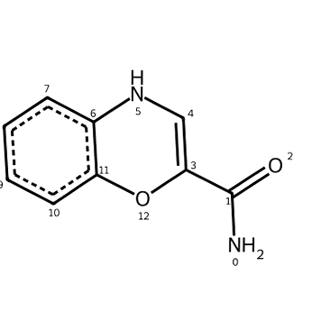 NC(=O)C1=CNc2ccccc2O1